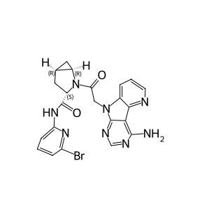 Nc1ncnc2c1c1ncccc1n2CC(=O)N1[C@@H]2C[C@@H]2C[C@H]1C(=O)Nc1cccc(Br)n1